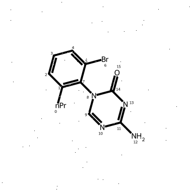 CCCc1cccc(Br)c1-n1cnc(N)nc1=O